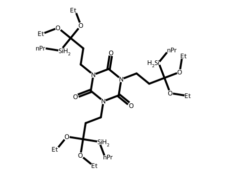 CCC[SiH2]C(CCn1c(=O)n(CCC(OCC)(OCC)[SiH2]CCC)c(=O)n(CCC(OCC)(OCC)[SiH2]CCC)c1=O)(OCC)OCC